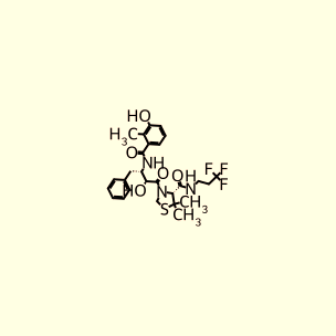 Cc1c(O)cccc1C(=O)N[C@@H](Cc1ccccc1)[C@H](O)C(=O)N1CSC(C)(C)[C@H]1C(=O)NCCC(F)(F)F